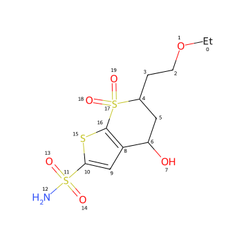 CCOCCC1CC(O)c2cc(S(N)(=O)=O)sc2S1(=O)=O